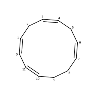 C1=CCC=CCC=CCCC=C1